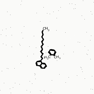 CCCCCCCCCCCCCc1cccc2ccccc12.Cc1ccccc1C